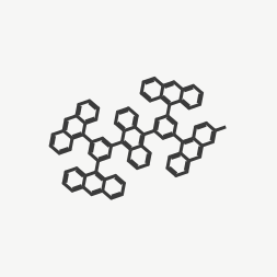 Cc1ccc2c(-c3cc(-c4c5ccccc5cc5ccccc45)cc(-c4c5ccccc5c(-c5cc(-c6c7ccccc7cc7ccccc67)cc(-c6c7ccccc7cc7ccccc67)c5)c5ccccc45)c3)c3ccccc3cc2c1